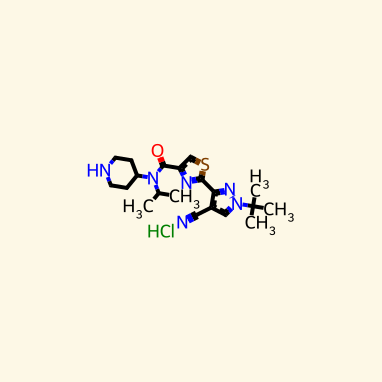 CC(C)N(C(=O)c1csc(-c2nn(C(C)(C)C)cc2C#N)n1)C1CCNCC1.Cl